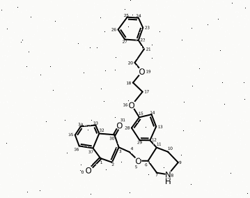 O=C1C=C(COC2CNCCC2c2ccc(OCCOCCc3ccccc3)cc2)C(=O)c2ccccc21